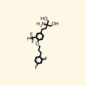 NC(CO)(CO)CCc1ccc(OCCCc2ccc(F)cc2F)c(C(F)(F)F)c1